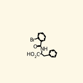 O=C(N[C@@H](Cc1ccccc1)C(=O)O)c1ccccc1Br